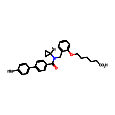 [2H]C1(N(Cc2ccccc2OCCCCCC(=O)O)C(=O)c2ccc(-c3ccc(CCCC)cc3)cc2)CC1